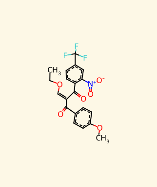 CCO/C=C(/C(=O)c1ccc(OC)cc1)C(=O)c1ccc(C(F)(F)F)cc1[N+](=O)[O-]